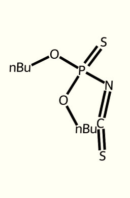 CCCCOP(=S)(N=C=S)OCCCC